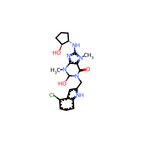 CN1c2nc(N[C@H]3CCC[C@@H]3O)n(C)c2C(=O)N(Cc2cc3c(Cl)cccc3[nH]2)C1O